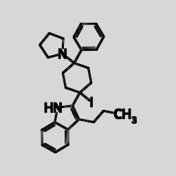 CCCc1c(C2(I)CCC(c3ccccc3)(N3CCCC3)CC2)[nH]c2ccccc12